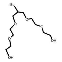 CCC(C)C(COCCOCCO)COCCOCCO